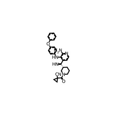 N#CC1(C(=O)N2CCC[C@@H](C(=N)c3ccnc(N)c3Nc3ccc(Oc4ccccc4)cc3)C2)CC1